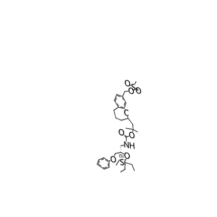 CC[Si](CC)(CC)O[C@@H](CNC(=O)OC(C)(C)CC1CCCc2ccc(COS(C)(=O)=O)cc2C1)COc1ccccc1